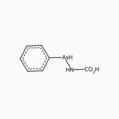 O=C(O)N[AsH]c1ccccc1